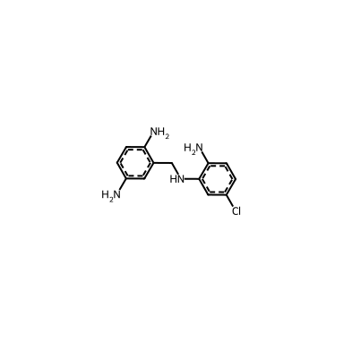 Nc1ccc(N)c(CNc2cc(Cl)ccc2N)c1